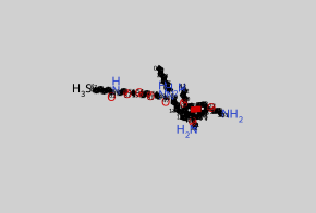 CCCCCCCCN(CCC[C@@H](C)[C@H]1CC[C@H]2[C@@H]3[C@H](OCN)C[C@@H]4C[C@H](OCCCN)CC[C@]4(C)[C@H]3C[C@H](OCCCN)[C@]12C)C(=O)NCCOCCOCCOCCNC(=O)CCCC[SiH3]